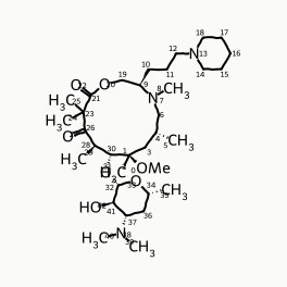 CO[C@]1(C)C[C@@H](C)CN(C)[C@H](CCCN2CCCCC2)COC(=O)C(C)(C)C(=O)[C@H](C)[C@H]1O[C@@H]1O[C@H](C)C[C@H](N(C)C)[C@H]1O